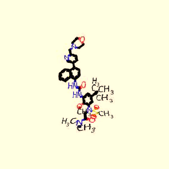 COc1c(NC(=O)Nc2ccc(-c3ccc(CN4CCOCC4)nc3)c3ccccc23)cc(C(C)(C)C)cc1N(CC(=O)N(C)C)S(C)(=O)=O